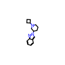 c1ccc2nn(C3CCCN(C4CCC4)C3)cc2c1